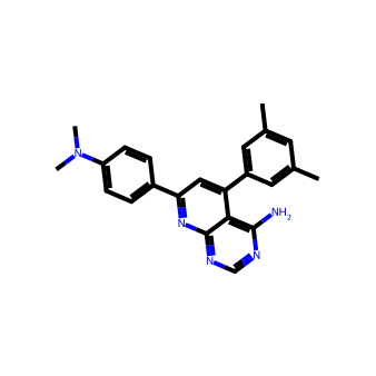 Cc1cc(C)cc(-c2cc(-c3ccc(N(C)C)cc3)nc3ncnc(N)c23)c1